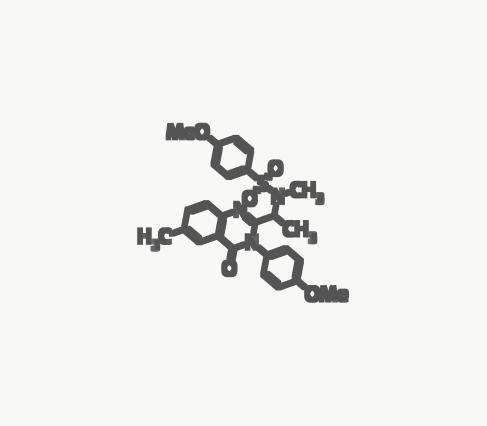 COc1ccc(-n2c(C(C)N(C)S(=O)(=O)c3ccc(OC)cc3)nc3ccc(C)cc3c2=O)cc1